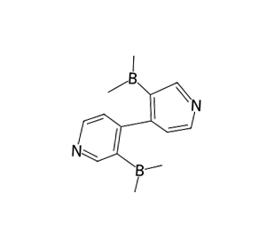 CB(C)c1cnccc1-c1ccncc1B(C)C